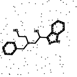 OCCN(Cc1ccccc1)CC(O)c1n[nH]c2ccccc12